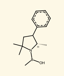 CB(O)N1[C@@H](C)C(c2ccccc2)CC1(C)C